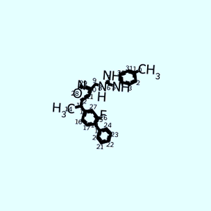 Cc1ccc(NC(=N)NCc2cc(C(C)c3ccc(-c4ccccc4)c(F)c3)on2)cc1